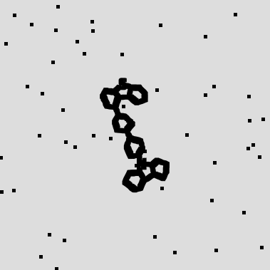 c1ccc2c(c1)sc1cccc(-c3ccc(-c4ccc(-n5c6ccccc6c6ccccc65)cc4)cc3)c12